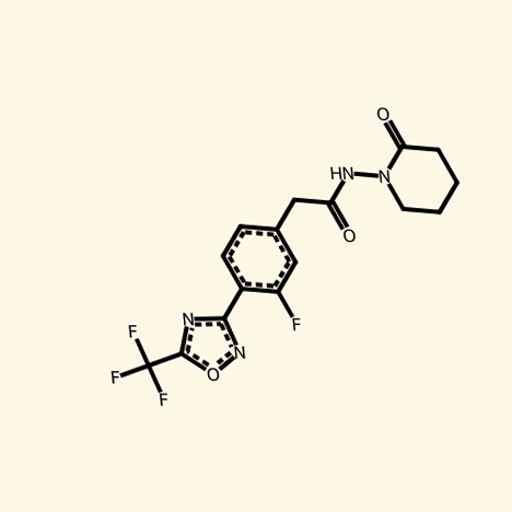 O=C(Cc1ccc(-c2noc(C(F)(F)F)n2)c(F)c1)NN1CCCCC1=O